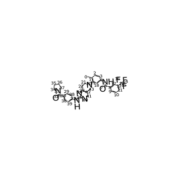 Cc1ccc(NC(=O)c2cccc(C(F)(F)F)c2)cc1N1CCc2nc(Nc3ccc(C(=O)N4CCCC4)cc3)ncc2C1